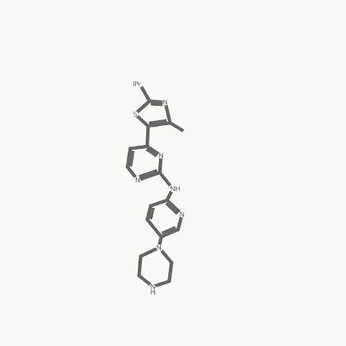 Cc1nc(C(C)C)sc1-c1ccnc(Nc2ccc(N3CCNCC3)cn2)n1